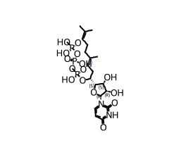 CC(C)=CCC/C(C)=C/CC(OP(=O)(O)OP(=O)(O)OP(=O)(O)O)[C@H]1O[C@@H](n2ccc(=O)[nH]c2=O)[C@H](O)[C@@H]1O